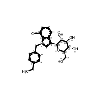 CCc1ccc(Cn2cc([C@@H]3O[C@H](CO)[C@@H](O)[C@H](O)[C@H]3O)c3cccc(Cl)c32)cc1